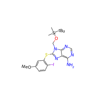 COc1ccc(I)c(Sc2nc3c(N)ncnc3n2CO[Si](C)(C)C(C)(C)C)c1